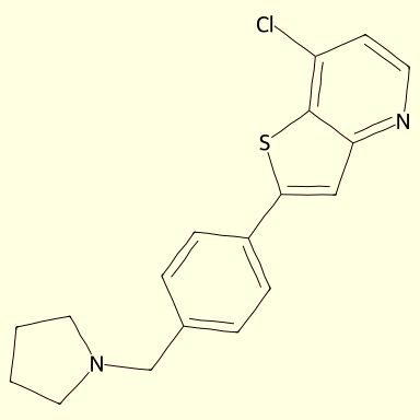 Clc1ccnc2cc(-c3ccc(CN4CCCC4)cc3)sc12